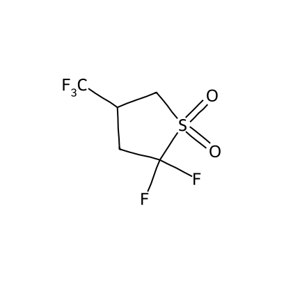 O=S1(=O)CC(C(F)(F)F)CC1(F)F